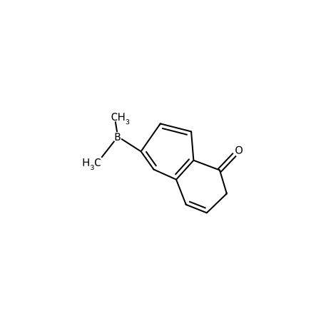 CB(C)c1ccc2c(c1)C=CCC2=O